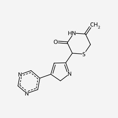 C=C1CSC(C2=NCC(c3cncnc3)=C2)C(=O)N1